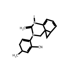 C=C1N(I)C2=CC=CC3CC23CN1C1=CCC(C)C=C1C#N